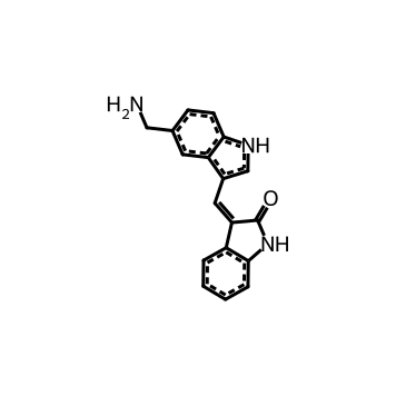 NCc1ccc2[nH]cc(C=C3C(=O)Nc4ccccc43)c2c1